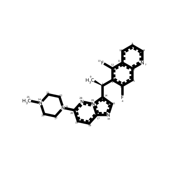 C[C@@H](c1c(F)cc2ncccc2c1F)c1cnc2ccc(N3CCN(C)CC3)nn12